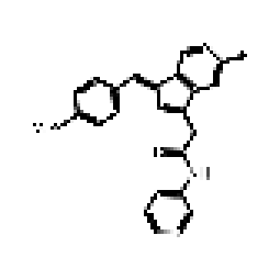 CSc1ccc(/C=C2\C=C(CC(=O)Nc3ccccc3)c3cc(F)ccc32)cc1